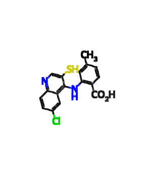 Cc1ccc(C(=O)O)c(Nc2c(S)cnc3ccc(Cl)cc23)c1